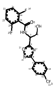 O=C(NC(CO)c1nc(-c2ccc(C(F)(F)F)cc2)no1)c1c(F)cccc1F